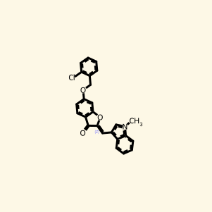 Cn1cc(/C=C2\Oc3cc(OCc4ccccc4Cl)ccc3C2=O)c2ccccc21